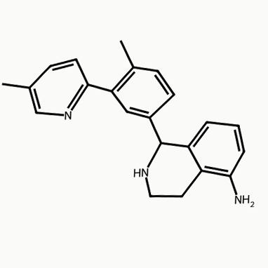 Cc1ccc(-c2cc(C3NCCc4c(N)cccc43)ccc2C)nc1